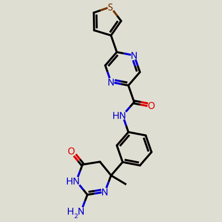 CC1(c2cccc(NC(=O)c3cnc(-c4ccsc4)cn3)c2)CC(=O)NC(N)=N1